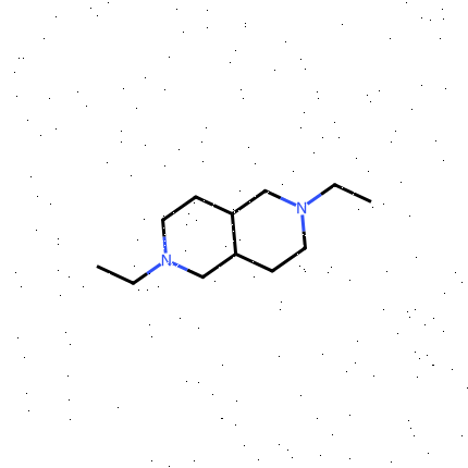 CCN1CCC2CN(CC)CCC2C1